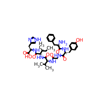 CC[C@H](C)[C@H](NC(=O)[C@@H](NC(=O)CNC(=O)[C@@H](Cc1ccc(O)cc1)NC(=O)[C@@H](N)Cc1ccccc1)C(C)C)C(=O)N[C@H](Cc1c[nH]cn1)C(=O)O